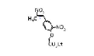 CCOC(=O)COc1ccc(/C=C(\C)[N+](=O)[O-])cc1[N+](=O)[O-]